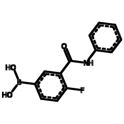 O=C(Nc1ccccc1)c1cc(B(O)O)ccc1F